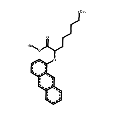 CCCCCCCCCCCCCCCC(Oc1cccc2cc3ccccc3cc12)C(=O)OC(C)(C)C